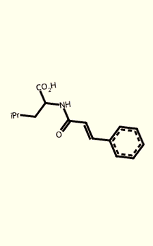 CC(C)CC(NC(=O)C=Cc1ccccc1)C(=O)O